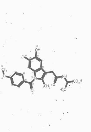 Cc1c(CC(=O)NC(C)C(=O)O)c2cc(O)c(Cl)cc2n1C(=O)c1ccc(OC(F)(F)F)cc1